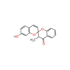 CC1C(=O)c2ccccc2OC12C=Cc1ccc(O)cc1O2